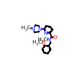 COc1ccccc1CN(C)C(=O)c1cccc(N2CCN(C)CC2)n1